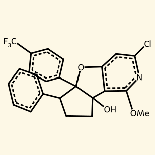 COc1nc(Cl)cc2c1C1(O)CCC(c3ccccc3)C1(c1ccc(C(F)(F)F)cc1)O2